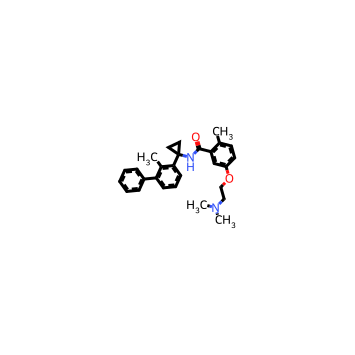 Cc1ccc(OCCN(C)C)cc1C(=O)NC1(c2cccc(-c3ccccc3)c2C)CC1